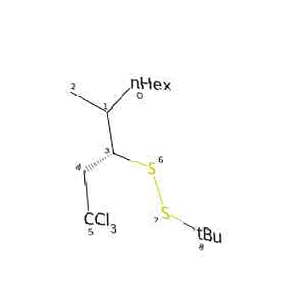 CCCCCCC(C)[C@@H](CC(Cl)(Cl)Cl)SSC(C)(C)C